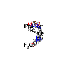 Cc1ccc(C(C)C)c(N2C(=O)CS/C2=N\C(=O)N(C)CCc2ccc(-c3ncn(-c4ccc(OC(F)(F)F)cc4)n3)cc2)c1